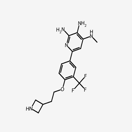 CNc1cc(-c2ccc(OCCC3CNC3)c(C(F)(F)F)c2)nc(N)c1N